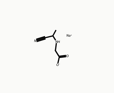 CC(C#N)NCC(=O)[O-].[Na+]